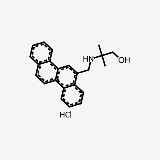 CC(C)(CO)NCc1cc2c3ccccc3ccc2c2ccccc12.Cl